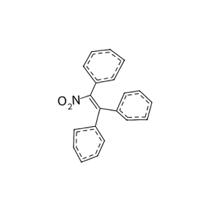 O=[N+]([O-])C(=C(c1ccccc1)c1ccccc1)c1ccccc1